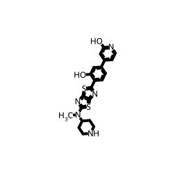 CN(c1nc2sc(-c3ccc(-c4ccnc(O)c4)cc3O)nc2s1)C1CCNCC1